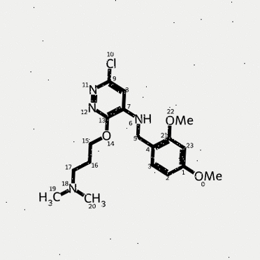 COc1ccc(CNc2cc(Cl)nnc2OCCCN(C)C)c(OC)c1